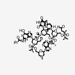 Cc1cn(C2CN(P(=O)(OCC3CN(P(=O)(OCC4CN(C)CC(n5cnc6c(N)ncnc65)O4)N(C)C)CC(n4cnc5c(O)nc(NC(=O)C(C)C)nc54)O3)N(C)C)CC(COP(=O)(N(C)C)N3CC(COP(=O)(N(C)C)N(C)CC(N)=O)OC(n4ccc(N)nc4=O)C3)O2)c(=O)[nH]c1=O